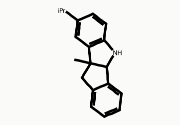 CC(C)c1ccc2c(c1)C1(C)Cc3ccccc3C1N2